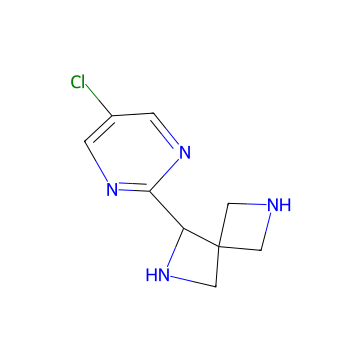 Clc1cnc(C2NCC23CNC3)nc1